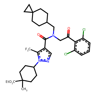 CCOC(=O)C1(C)CCC(n2ncc(C(=O)N(CC(=O)c3c(Cl)cccc3Cl)CC3CCC4(CC3)CC4)c2C(F)(F)F)CC1